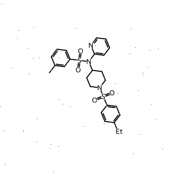 CCc1ccc(S(=O)(=O)N2CCC(N(c3ccccn3)S(=O)(=O)c3cccc(C)c3)CC2)cc1